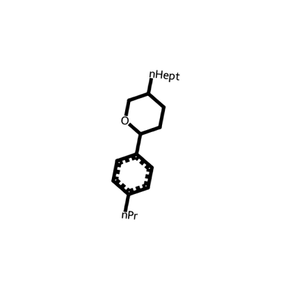 CCCCCCCC1CCC(c2ccc(CCC)cc2)OC1